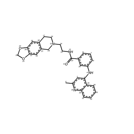 Cc1cc(Nc2cccc(C(=O)NCCN3CCc4cc5c(cc4C3)OCO5)c2)c2ccccc2n1